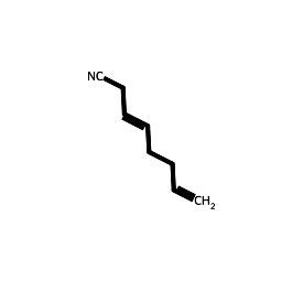 C=CCCC=CCC#N